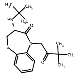 CC(C)(C)N[C@H]1CSc2ccccc2N(CC(=O)C(C)(C)C)C1=O